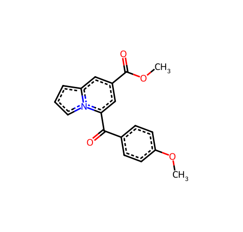 COC(=O)c1cc(C(=O)c2ccc(OC)cc2)n2cccc2c1